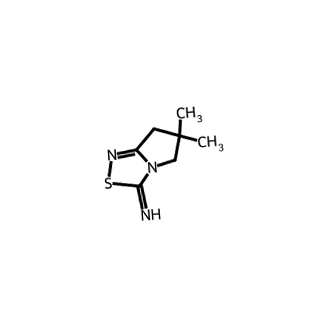 CC1(C)Cc2nsc(=N)n2C1